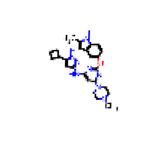 Cc1cc2cc(Oc3nc(Nc4cc(C5CCC5)[nH]n4)cc(N4CCN(C)CC4)n3)ccc2[nH]1